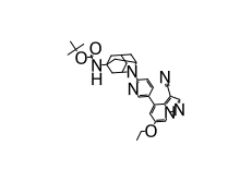 CCOc1cc(-c2ccc(N3C4CC5CC3CC(NC(=O)OC(C)(C)C)(C5)C4)nc2)c2c(C#N)cnn2c1